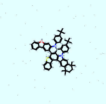 CC(C)(C)c1ccc(N2B3c4cc(C(C)(C)C)ccc4-n4c5cc6c(cc5c5c7c(sc8ccccc87)c(c3c54)-c3cc4c(cc32)oc2ccccc24)C(C)(C)CCC6(C)C)cc1